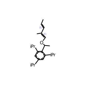 C/C=C/C(C)=C/OC(C)c1c(C(C)C)cc(C(C)C)cc1C(C)C